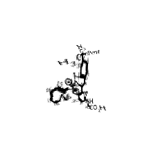 CCCCCC(C)(C)c1ccc(CC(NS(=O)(=O)c2ccccn2)c2cccc(NCC(=O)O)n2)cc1